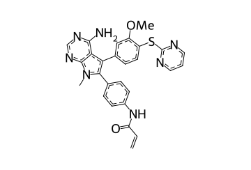 C=CC(=O)Nc1ccc(-c2c(-c3ccc(Sc4ncccn4)c(OC)c3)c3c(N)ncnc3n2C)cc1